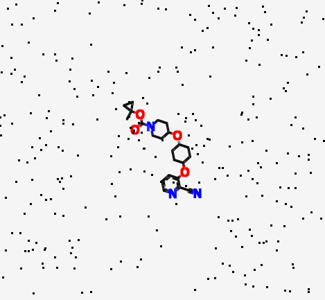 CC1(OC(=O)N2CCC(O[C@H]3CC[C@H](Oc4cccnc4C#N)CC3)CC2)CC1